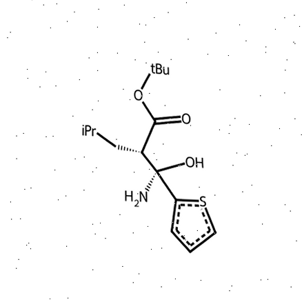 CC(C)C[C@H](C(=O)OC(C)(C)C)[C@@](N)(O)c1cccs1